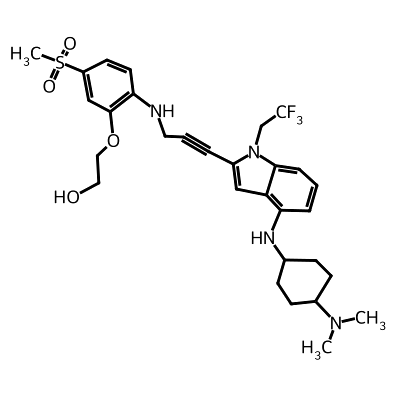 CN(C)C1CCC(Nc2cccc3c2cc(C#CCNc2ccc(S(C)(=O)=O)cc2OCCO)n3CC(F)(F)F)CC1